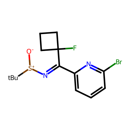 CC(C)(C)[S+]([O-])N=C(c1cccc(Br)n1)C1(F)CCC1